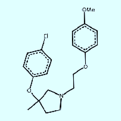 COc1ccc(OCCN2CCC(C)(Oc3ccc(Cl)cc3)C2)cc1